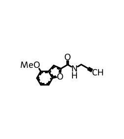 C#CCNC(=O)c1cc2c(OC)cccc2o1